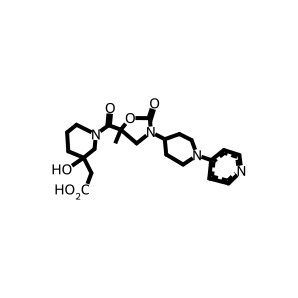 CC1(C(=O)N2CCCC(O)(CC(=O)O)C2)CN(C2CCN(c3ccncc3)CC2)C(=O)O1